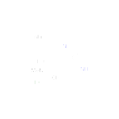 CCCC(C)N=C=N.CNC.Cl